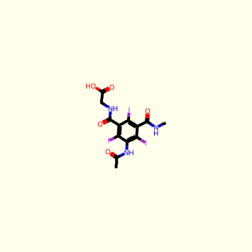 CNC(=O)c1c(I)c(NC(C)=O)c(I)c(C(=O)NCC(=O)O)c1I